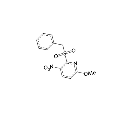 COc1ccc([N+](=O)[O-])c(S(=O)(=O)Cc2ccccc2)n1